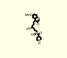 CCCC(CCCc1c(Cl)cnc2ccc(OC)cc12)CCCN(O)C(=O)C1CCNCC1